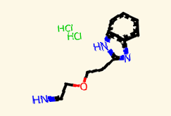 Cl.Cl.N=CCOCCc1nc2ccccc2[nH]1